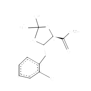 COC(=O)[C@@H]1OC(C)(C)O[C@H]1Cc1ccccc1Cl